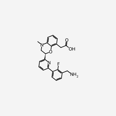 CN1C[C@H](c2cccc(-c3cccc(CN)c3F)n2)Oc2c(CC(=O)O)cccc21